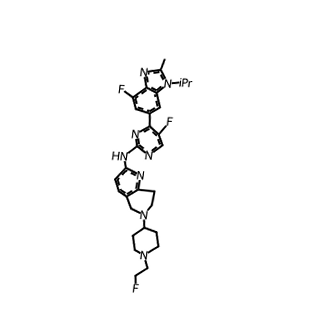 Cc1nc2c(F)cc(-c3nc(Nc4ccc5c(n4)CCN(C4CCN(CCF)CC4)C5)ncc3F)cc2n1C(C)C